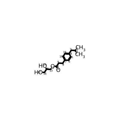 CC(C)Cc1ccc(CCC(=O)OCC(O)CO)cc1